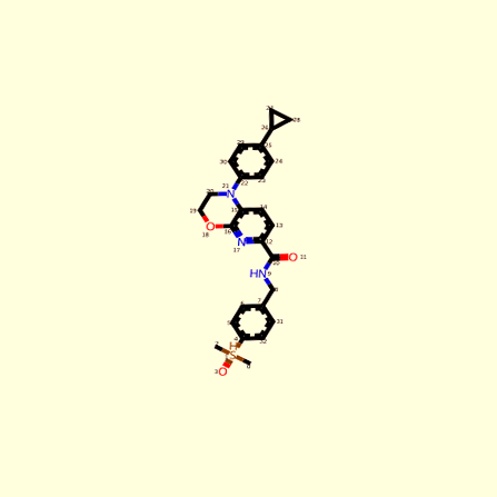 C[SH](C)(=O)c1ccc(CNC(=O)c2ccc3c(n2)OCCN3c2ccc(C3CC3)cc2)cc1